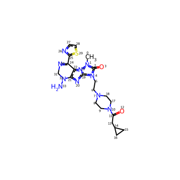 Cn1c(=O)n(CCN2CCN(C(=O)CC3CC3)CC2)c2nc3c(n21)C(c1nccs1)=NCN3N